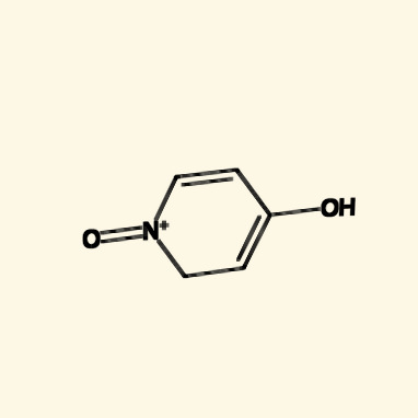 O=[N+]1C=CC(O)=CC1